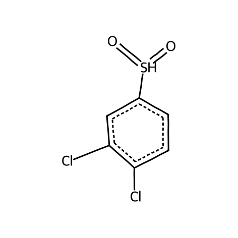 O=[SH](=O)c1ccc(Cl)c(Cl)c1